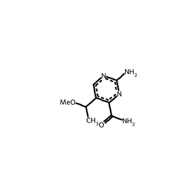 COC(C)c1cnc(N)nc1C(N)=O